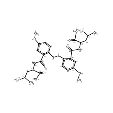 COc1ccc(SSc2ccc(OC)cc2C(=O)NC(CC(C)C)C(=O)O)c(C(=O)NC(CC(C)C)C(=O)O)c1